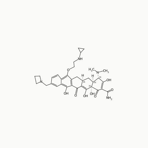 CN(C)[C@@H]1C(O)=C(C(N)=O)C(=O)[C@@]2(O)C(O)=C3C(=O)c4c(c(OCCNC5CC5)c5ccc(CN6CCC6)cc5c4O)C[C@H]3C[C@@H]12